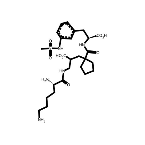 CS(=O)(=O)Nc1cccc(C[C@H](NC(=O)C2(CC(CNC(=O)[C@@H](N)CCCCN)C(=O)O)CCCC2)C(=O)O)c1